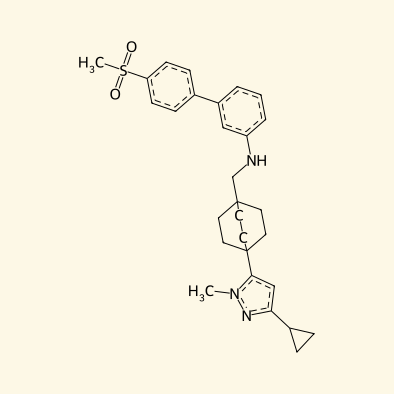 Cn1nc(C2CC2)cc1C12CCC(CNc3cccc(-c4ccc(S(C)(=O)=O)cc4)c3)(CC1)CC2